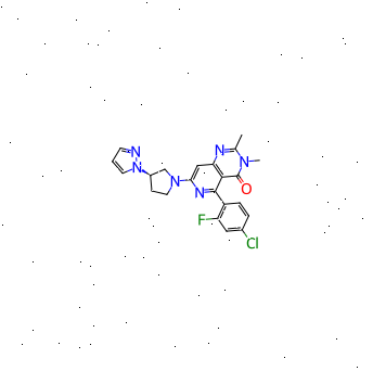 Cc1nc2cc(N3CC[C@@H](n4cccn4)C3)nc(-c3ccc(Cl)cc3F)c2c(=O)n1C